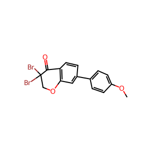 COc1ccc(-c2ccc3c(c2)OCC(Br)(Br)C3=O)cc1